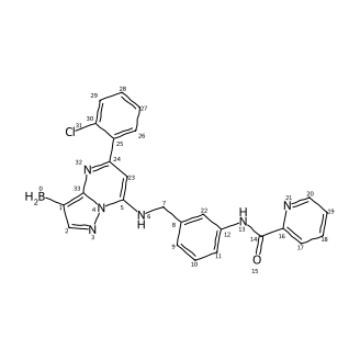 Bc1cnn2c(NCc3cccc(NC(=O)c4ccccn4)c3)cc(-c3ccccc3Cl)nc12